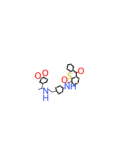 COc1ccc(C(C)NCCc2ccc(NC(=O)c3cccc4c(=O)c5ccccc5sc34)cc2)cc1OC